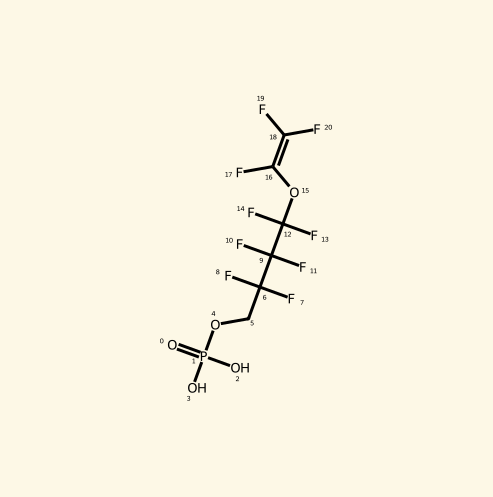 O=P(O)(O)OCC(F)(F)C(F)(F)C(F)(F)OC(F)=C(F)F